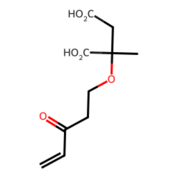 C=CC(=O)CCOC(C)(CC(=O)O)C(=O)O